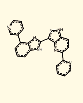 c1ccc(-c2ccc3[nH]nc(-c4nc5c(-c6cccnc6)cccc5[nH]4)c3n2)nc1